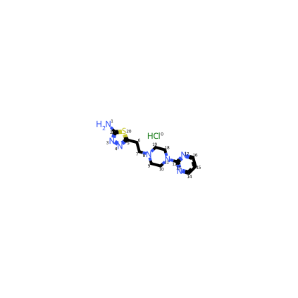 Cl.Nc1nnc(CCN2CCN(c3ncccn3)CC2)s1